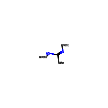 CCCCCN=C(NCCCCC)SC